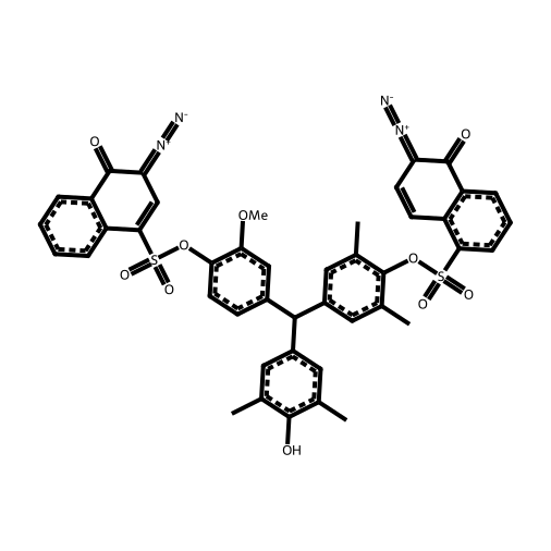 COc1cc(C(c2cc(C)c(O)c(C)c2)c2cc(C)c(OS(=O)(=O)c3cccc4c3C=CC(=[N+]=[N-])C4=O)c(C)c2)ccc1OS(=O)(=O)C1=CC(=[N+]=[N-])C(=O)c2ccccc21